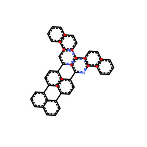 c1ccc(-c2cc(-c3ccc(-c4cccc5cccc(-c6ccc(-c7cc(-c8ccccc8)nc(-c8ccccc8)n7)cc6)c45)cc3)nc(-c3ccccc3)n2)cc1